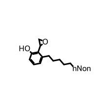 CCCCCCCCCCCCCCc1cccc(O)c1C1CO1